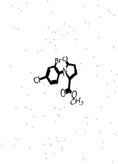 COC(=O)C1CCC(=O)N1c1ccc(Cl)cc1Br